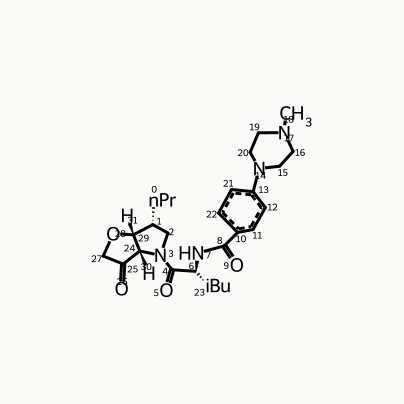 CCC[C@@H]1CN(C(=O)[C@@H](NC(=O)c2ccc(N3CCN(C)CC3)cc2)[C@@H](C)CC)[C@@H]2C(=O)CO[C@H]12